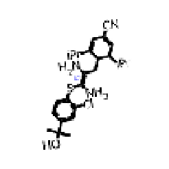 CC(C)C1=CC(C#N)=CC(C(C)C)C1C/C(N)=C(\N)Sc1ccc(C(C)(C)O)cc1Cl